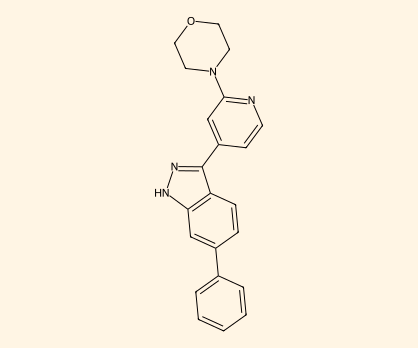 c1ccc(-c2ccc3c(-c4ccnc(N5CCOCC5)c4)n[nH]c3c2)cc1